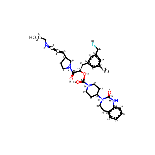 O=C(O)CN=C=C=CC1CCN(C(=O)[C@@H](Cc2cc(CF)cc(C(F)(F)F)c2)OC(=O)N2CCC(N3CCc4ccccc4NC3=O)CC2)C1